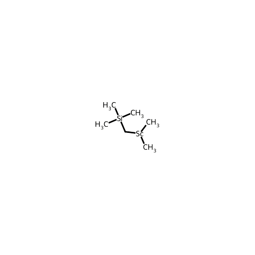 [CH3][Sc]([CH3])[CH2][Si](C)(C)C